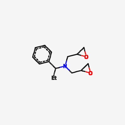 CCC(c1ccccc1)N(CC1CO1)CC1CO1